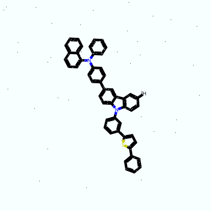 [2H]c1ccc2c(c1)c1cc(-c3ccc(N(c4ccccc4)c4cccc5ccccc45)cc3)ccc1n2-c1cccc(-c2ccc(-c3ccccc3)s2)c1